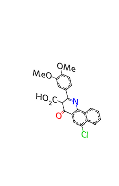 COc1ccc(C2=Nc3c(cc(Cl)c4ccccc34)C(=O)C2C(=O)O)cc1OC